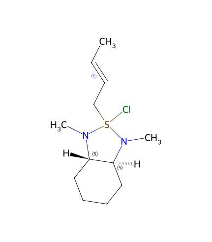 C/C=C/CS1(Cl)N(C)[C@H]2CCCC[C@@H]2N1C